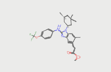 COC(=O)Cc1cc2nc(Nc3ccc(OC(F)(F)F)cc3)n([C@H]3C[C@@H](C)CC(C)(C)C3)c2cc1C